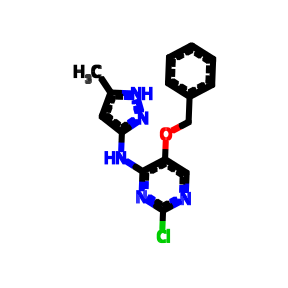 Cc1cc(Nc2nc(Cl)ncc2OCc2ccccc2)n[nH]1